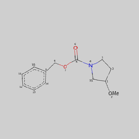 COC1CCN(C(=O)OCc2ccccc2)C1